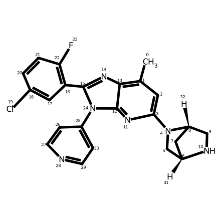 Cc1cc(N2C[C@@H]3C[C@H]2CN3)nc2c1nc(-c1cc(Cl)ccc1F)n2-c1ccncc1